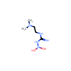 CN(C)CCNC(=N)NN(O)O